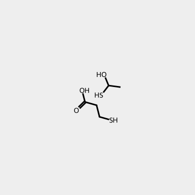 CC(O)S.O=C(O)CCS